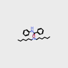 CCCCCCNCCCCCC.O=C(Nc1ccccc1)c1ccccc1